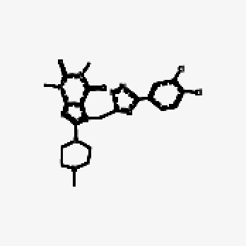 CN1CCN(c2nc3c(c(=O)n(C)c(=O)n3C)n2Cc2nnc(-c3ccc(Cl)c(Cl)c3)o2)CC1